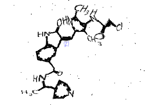 Cc1[nH]c(/C=C2\C(=O)Nc3ccc(C(=O)NC(C)c4ccncc4)cc32)c(C)c1NC(=O)CCl